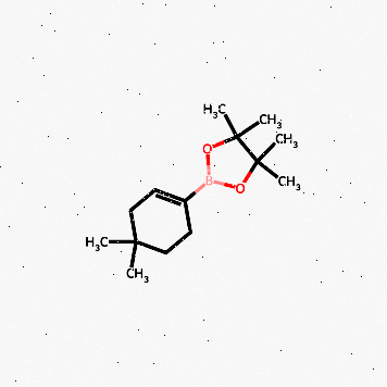 CC1(C)CC=C(B2OC(C)(C)C(C)(C)O2)CC1